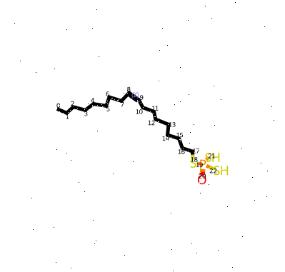 CCCCCCCC/C=C\CCCCCCCCSP(=O)(S)S